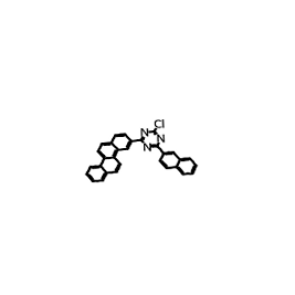 Clc1nc(-c2ccc3ccccc3c2)nc(-c2ccc3ccc4c5ccccc5ccc4c3c2)n1